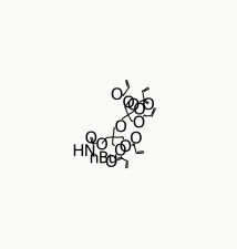 C=CC(=O)OCC(COCC(COC(=O)C=C)(COC(=O)C=C)COC(=O)NCCCC)(COC(=O)C=C)COC(=O)C=C